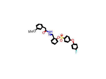 COc1cccc(CC(=O)N/N=C/c2ccccc2OS(=O)(=O)c2ccc(Oc3ccc(F)cc3)cc2)c1